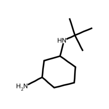 CC(C)(C)NC1CCCC(N)C1